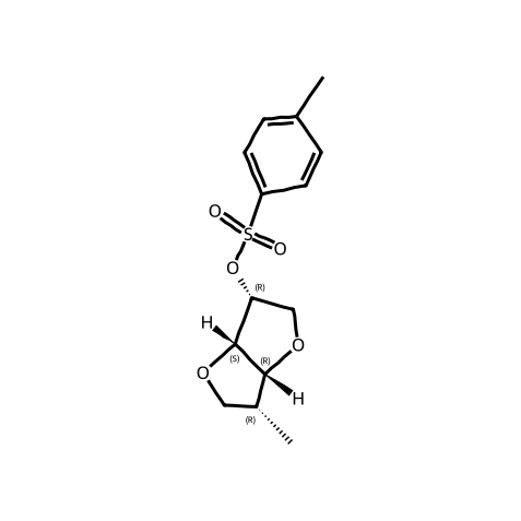 Cc1ccc(S(=O)(=O)O[C@@H]2CO[C@H]3[C@@H]2OC[C@H]3C)cc1